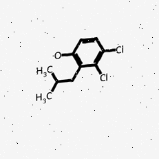 CC(C)Cc1c([O])ccc(Cl)c1Cl